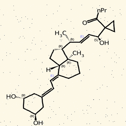 CCCC(=O)C1([C@@H](O)/C=C/[C@@H](C)[C@H]2CC[C@H]3/C(=C/C=C4C[C@@H](O)C[C@H](O)C4)CCC[C@]23C)CC1